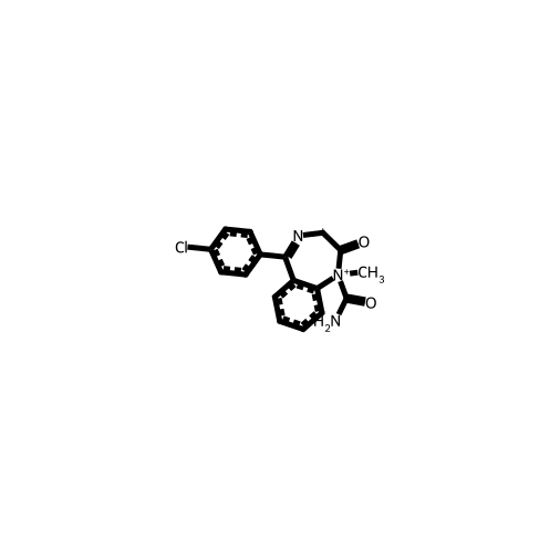 C[N+]1(C(N)=O)C(=O)[CH]N=C(c2ccc(Cl)cc2)c2ccccc21